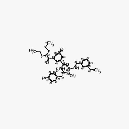 CCCN(CCC)C(=O)c1cc(Br)cc(C(=O)N[C@@H](Cc2ccc(F)cc2F)[C@H](O)CNCc2cccc(CC)c2)c1